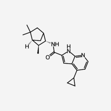 C[C@@H]1[C@@H](NC(=O)c2cc3c(C4CC4)ccnc3[nH]2)C2C[C@@H]1C(C)(C)C2